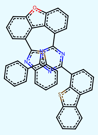 c1ccc(-c2nc(-c3cccc4c3sc3ccccc34)nc(-c3cccc4oc5cccc(-c6nc7ccccc7s6)c5c34)n2)cc1